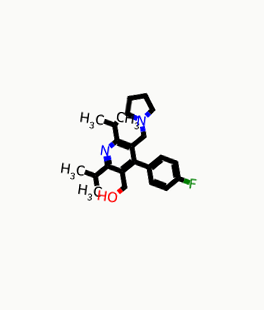 CC(C)c1nc(C(C)C)c(CN2CCCC2)c(-c2ccc(F)cc2)c1CO